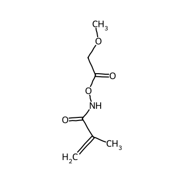 C=C(C)C(=O)NOC(=O)COC